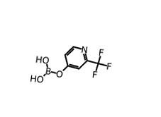 OB(O)Oc1ccnc(C(F)(F)F)c1